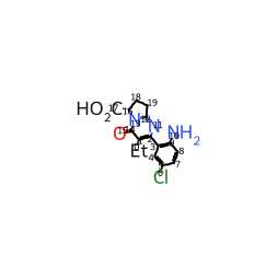 CCc1c(-c2cc(Cl)ccc2N)nc2n(c1=O)[C@H](C(=O)O)CC2